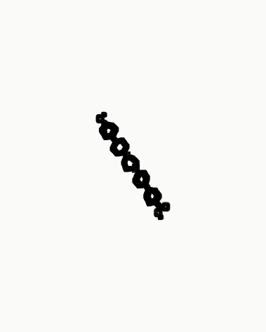 COC(=O)c1ccc(-c2ccc(N3CCN(C4CCC(c5ccc(OC)cc5)CC4)CC3)cc2)cc1